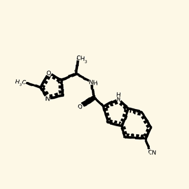 Cc1ncc(C(C)NC(=O)c2cc3cc(C#N)ccc3[nH]2)o1